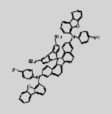 CC(C)c1ccc(N(c2ccc3c4c(ccc3c2)-c2ccc3cc(N(c5ccc(C(C)C)cc5)c5cccc6c5oc5ccccc56)ccc3c2C42c3ccc(C(C)(C)C)cc3-c3cc(C(C)(C)C)ccc32)c2cccc3c2oc2ccccc23)cc1